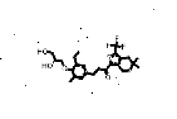 CCc1cc(CCC(=O)c2sc(C(F)(F)F)c3c2CCC(C)(C)C3)cc(C)c1OC[C@@H](O)CO